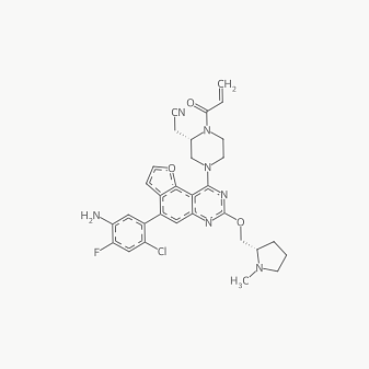 C=CC(=O)N1CCN(c2nc(OC[C@@H]3CCCN3C)nc3cc(-c4cc(N)c(F)cc4Cl)c4ccoc4c23)C[C@@H]1CC#N